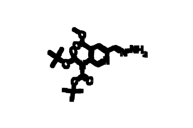 COC(=O)c1cc(C=NN)ncc1N(C(=O)OC(C)(C)C)C(=O)OC(C)(C)C